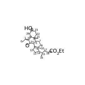 C/C=C1\C(=O)C2C(CC[C@@]3(C)C2CCC3[C@H](C)CCC(=O)OCC)[C@@]2(C)CC[C@@H](O)CC12